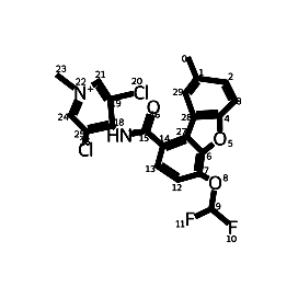 Cc1ccc2oc3c(OC(F)F)ccc(C(=O)Nc4c(Cl)c[n+](C)cc4Cl)c3c2c1